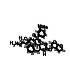 CNc1cccc(S(=O)(=O)N(C[C@@H](O)[C@H](Cc2ccccc2)NC(=O)OC2COC3OCCC23)CC(C)(C)CCCN)c1